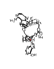 Nc1ncnc2c1ncn2C1(F)CO[C@@H]2COP(=O)(S)O[C@@H]3[C@H](O)[C@@H](COP(=O)(S)O[C@H]21)O[C@H]3n1cnc2c(O)ncnc21